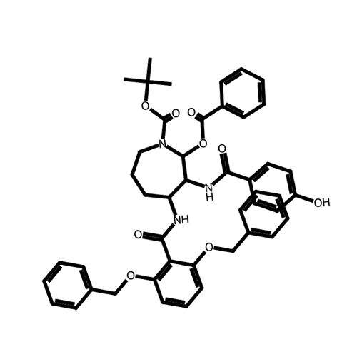 CC(C)(C)OC(=O)N1CCCC(NC(=O)c2c(OCc3ccccc3)cccc2OCc2ccccc2)C(NC(=O)c2ccc(O)cc2)C1OC(=O)c1ccccc1